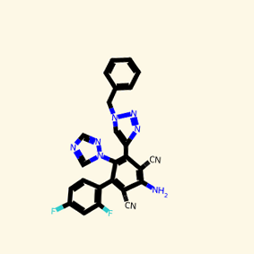 N#Cc1c(N)c(C#N)c(-c2ccc(F)cc2F)c(-n2cncn2)c1-c1cn(Cc2ccccc2)nn1